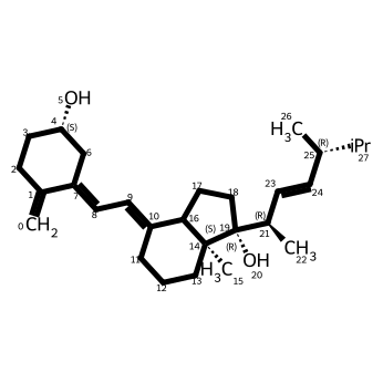 C=C1CC[C@H](O)CC1=CC=C1CCC[C@@]2(C)C1CC[C@@]2(O)[C@H](C)C=C[C@H](C)C(C)C